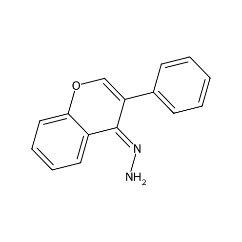 NN=c1c(-c2ccccc2)coc2ccccc12